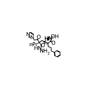 CCCC(C[C@](C)(CCC)[C@H](CCCc1ccccc1)C(=O)NO)(C(=O)Cn1ccnc1)C(=O)NN